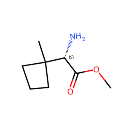 COC(=O)[C@@H](N)C1(C)CCC1